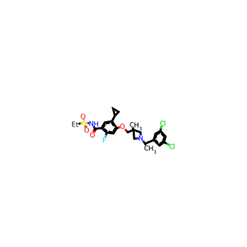 CCS(=O)(=O)NC(=O)c1cc(C2CC2)c(OCC2(C)CN(C(C)c3cc(Cl)cc(Cl)c3)C2)cc1F